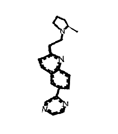 C[C@@H]1CCCN1CCc1ccc2cc(-c3cnccn3)ccc2n1